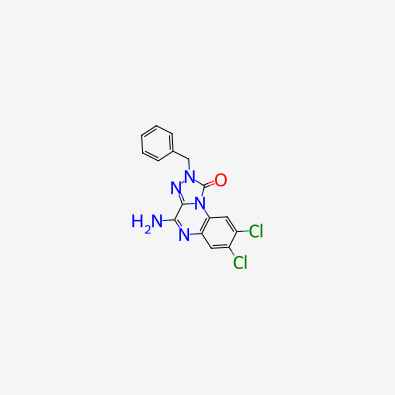 Nc1nc2cc(Cl)c(Cl)cc2n2c(=O)n(Cc3ccccc3)nc12